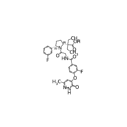 CCC(CC)(C(=O)O)[C@H]1CC[C@@H](c2cccc(F)c2)N1C(=O)CNC(=O)c1ccc(Oc2cc(C)n[nH]c2=O)c(F)c1